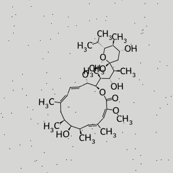 CO/C1=C/C(C)=C/[C@@H](C)[C@@H](O)[C@@H](C)C/C(C)=C/C=C/[C@H](OC)[C@@H]([C@@H](C)[C@@H](O)[C@H](C)[C@@]2(O)C[C@@H](O)[C@H](C)[C@@H](C(C)C)O2)OC1=O